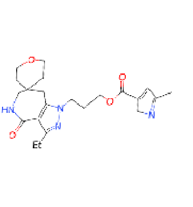 CCc1nn(CCCOC(=O)C2=CC(C)=NC2)c2c1C(=O)NCC1(CCOCC1)C2